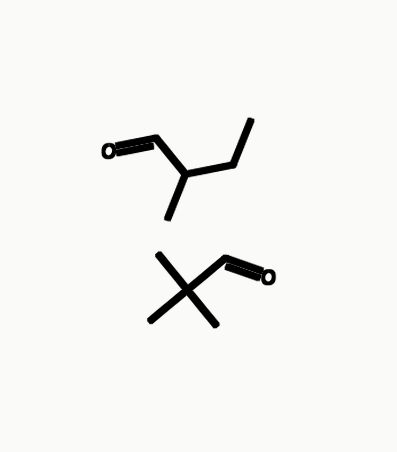 CC(C)(C)C=O.CCC(C)C=O